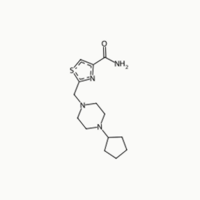 NC(=O)c1csc(CN2CCN(C3CCCC3)CC2)n1